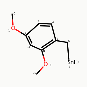 COc1ccc([CH2][SnH])c(OC)c1